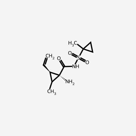 C=C[C@@H]1C(C)[C@]1(N)C(=O)NS(=O)(=O)C1(C)CC1